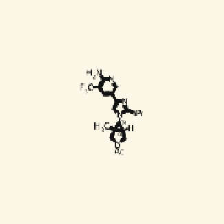 CC(=O)N1C[C@H]2[C@H](n3cc(-c4cnc(N)c(C(F)(F)F)c4)nc3C(C)C)C2(C)C1